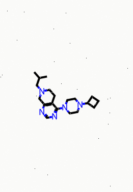 CC(C)CN1CCc2c(ncnc2N2CCN(C3CCC3)CC2)C1